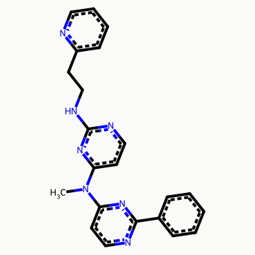 CN(c1ccnc(NCCc2ccccn2)n1)c1ccnc(-c2ccccc2)n1